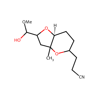 COC(O)C1CC2(C)OC(CCC#N)CC[C@@H]2O1